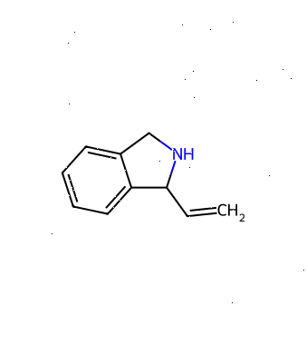 C=CC1NCc2ccccc21